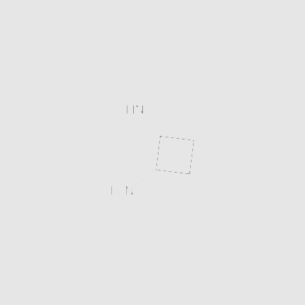 [NH]C1CCC1N